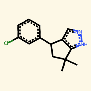 CC1(C)CC(c2cccc(Cl)c2)c2cn[nH]c21